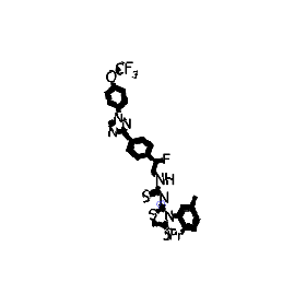 Cc1ccc(C(C)C)c(N2C(=S)CS/C2=N\C(=S)NCC(F)c2ccc(-c3ncn(-c4ccc(OC(F)(F)F)cc4)n3)cc2)c1